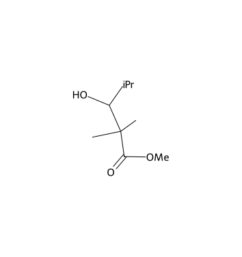 COC(=O)C(C)(C)C(O)C(C)C